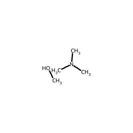 CN(C)C.CO